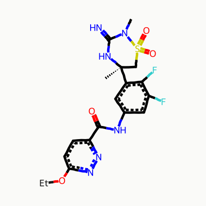 CCOc1ccc(C(=O)Nc2cc(F)c(F)c([C@]3(C)CS(=O)(=O)N(C)C(=N)N3)c2)nn1